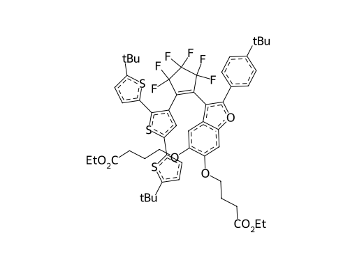 CCOC(=O)CCCOc1cc2oc(-c3ccc(C(C)(C)C)cc3)c(C3=C(c4cc(-c5ccc(C(C)(C)C)s5)sc4-c4ccc(C(C)(C)C)s4)C(F)(F)C(F)(F)C3(F)F)c2cc1OCCCC(=O)OCC